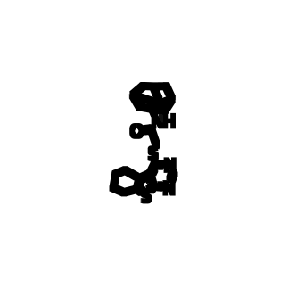 O=C(CSc1ncnc2sc3c(c12)CCCC3)NC12CC3CC(CC(C3)C1)C2